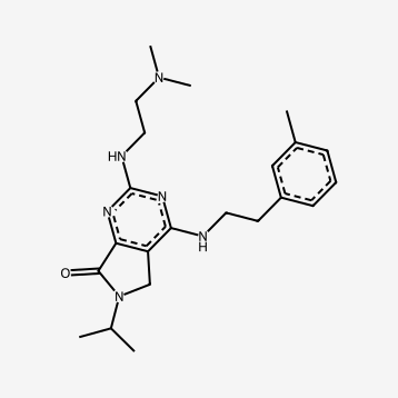 Cc1cccc(CCNc2nc(NCCN(C)C)nc3c2CN(C(C)C)C3=O)c1